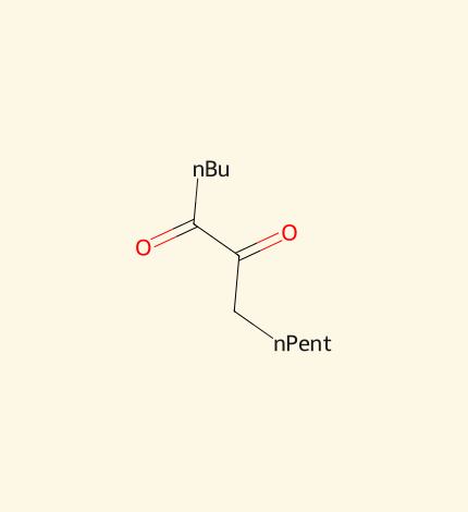 CCCCCCC(=O)C(=O)CCCC